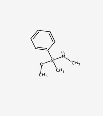 CN[Si](C)(OC)c1ccccc1